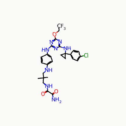 CC(C)(CNC(=O)C(N)=O)CNc1ccc(Nc2nc(NC3(c4ccc(Cl)cc4)CC3)nc(OCC(F)(F)F)n2)cc1